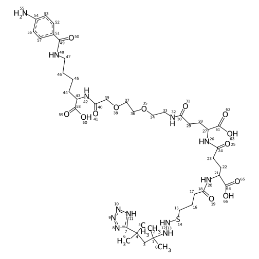 CC(C)(CC(C)(C)c1nnn[nH]1)NNSCCCC(=O)NC(CCC(=O)NC(CCC(=O)NCCOCCOCC(=O)NC(CCCCNC(=O)c1ccc(N)cc1)C(=O)O)C(=O)O)C(=O)O